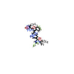 CNC(=O)[C@H](NC(=O)C(CC(F)F)c1cnn2cc([C@@H](NC(=O)c3nonc3C)C3CCC(F)(F)CC3)nc2c1)C(C)C